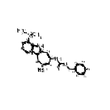 Br.CN(C)c1cccc2c3c([nH]c12)C=C(NC(=O)OCc1ccccc1)C=CC3